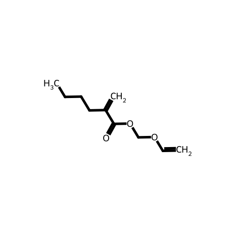 C=COCOC(=O)C(=C)CCCC